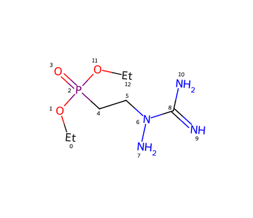 CCOP(=O)(CCN(N)C(=N)N)OCC